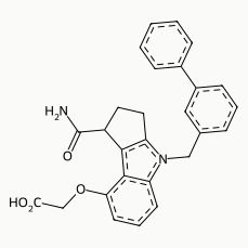 NC(=O)C1CCc2c1c1c(OCC(=O)O)cccc1n2Cc1cccc(-c2ccccc2)c1